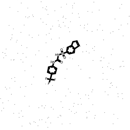 O=C(Nc1ccc(C(F)(F)F)cc1)NS(=O)(=O)c1ccc2c(c1)CC=C2